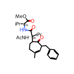 COC(=O)[C@@H](NC(=O)[C@@](NC(C)=O)(C(C)C)C1CCC(C)=CC(Cc2ccccc2)C1=O)C(C)C